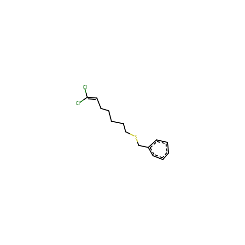 ClC(Cl)=CCCCCCSCc1ccccc1